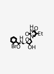 CCc1cn([C@@H]2CC(O)[C@H](CNC(=O)c3ccccc3Br)O2)c(=O)[nH]c1=O